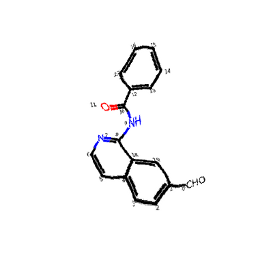 O=Cc1ccc2ccnc(NC(=O)c3ccccc3)c2c1